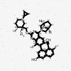 C#Cc1c(F)ccc2cc(O)cc(-c3c(F)cc4c(N5C[C@H]6CC[C@@H](C5)N6)nc(OC[C@@]5(C)CN(C6CC6)CC[C@H]5F)nc4c3F)c12